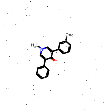 CC(=O)Oc1cccc(-c2cn(C)cc(-c3ccccc3)c2=O)c1